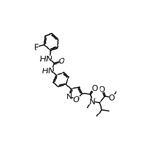 COC(=O)C(C(C)C)N(C)C(=O)c1cc(-c2ccc(NC(=O)Nc3ccccc3F)cc2)no1